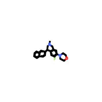 CN1Cc2cc(N3CCOCC3)c(F)cc2C(c2ccc3ccccc3c2)C1